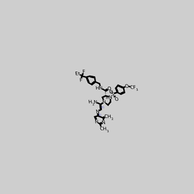 C=C1N=C(C)N=C/C1=N/C=C(\N)N1CCN(S(=O)(=O)c2ccc(OC(F)(F)F)cc2)[C@@H](C(=O)NCc2ccc(C(F)(F)CC)cc2)C1